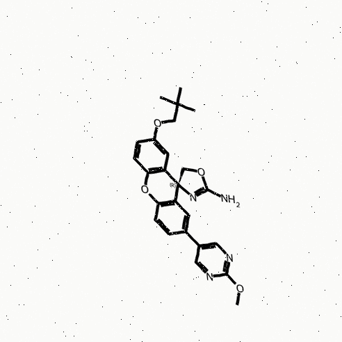 COc1ncc(-c2ccc3c(c2)[C@]2(COC(N)=N2)c2cc(OCC(C)(C)C)ccc2O3)cn1